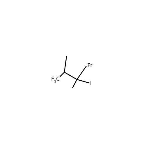 CC(C)C(C)(I)C(C)C(F)(F)F